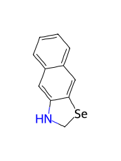 c1ccc2cc3c(cc2c1)NC[Se]3